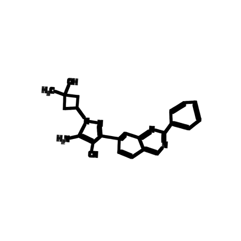 CC1(O)CC(n2nc(-c3ccc4cnc(-c5ccccc5)nc4c3)c(C#N)c2N)C1